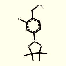 CC1(C)OB(c2ccc(CN)c(F)c2)OC1(C)C